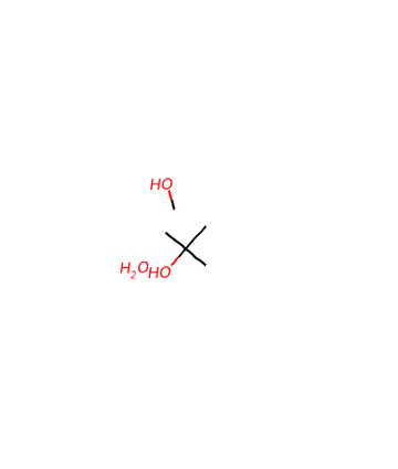 CC(C)(C)O.CO.O